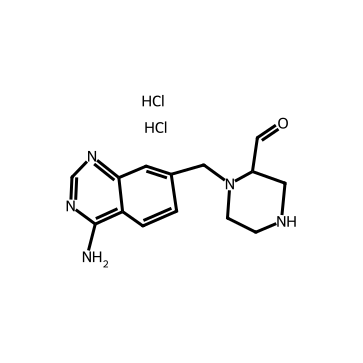 Cl.Cl.Nc1ncnc2cc(CN3CCNCC3C=O)ccc12